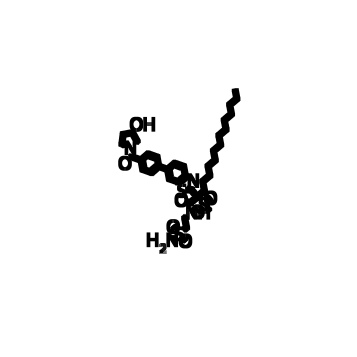 CCCCCCCCCCCCCCC(C(=O)NCCS(N)(=O)=O)(c1nc2ccc(-c3ccc(C(=O)N4CC[C@H](O)C4)cc3)cc2s1)S(C)(=O)=O